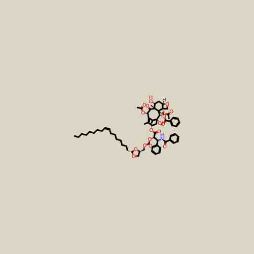 CCCCCCCC/C=C\CCCCCCC[C@H]1OC[C@H](COC(=O)O[C@@H](C(=O)O[C@H]2C[C@]3(O)C(C)C(=C2C)[C@@H](OC(C)=O)C(=O)[C@@]2(C)[C@H]([C@@H]3OC(=O)c3ccccc3)[C@]3(OC(C)=O)CO[C@@H]3C[C@@H]2O)[C@@H](NC(=O)c2ccccc2)c2ccccc2)O1